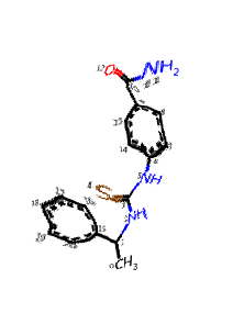 CC(NC(=S)Nc1ccc(C(N)=O)cc1)c1ccccc1